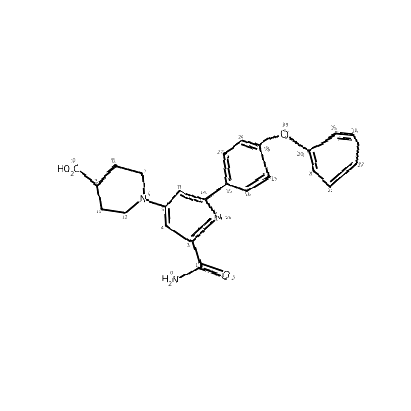 NC(=O)c1cc(N2CCC(C(=O)O)CC2)cc(-c2ccc(Oc3ccccc3)cc2)n1